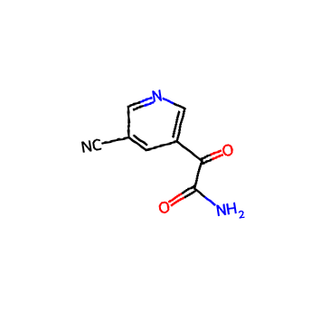 N#Cc1cncc(C(=O)C(N)=O)c1